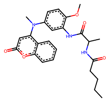 CCCCC(=O)NC(C)C(=O)Nc1cc(N(C)c2cc(=O)oc3ccccc23)ccc1OC